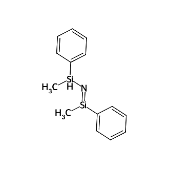 C/[Si](=N\[SiH](C)c1ccccc1)c1ccccc1